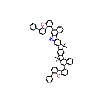 Cn1c2cc3c(cc2c2c4ccccc4c(-c4cccc5oc6c(-c7ccccc7)cccc6c45)cc21)C(C)(C)c1cc2c(cc1-3)[Si](C)(C)c1cc(-c3cccc4oc5c(-c6ccccc6)cccc5c34)c3ccccc3c1-2